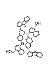 OCc1ccc(Oc2ccc3cc(-c4cccc5c4sc4ccccc45)ccc3c2-c2c(Oc3ccc(CO)c4ccccc34)ccc3cc(-c4cccc5c4sc4ccccc45)ccc23)c2ccccc12